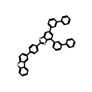 c1ccc(-c2cccc(-c3cc(-c4cccc(-c5ccccc5)c4)c4nc(-c5ccc(-c6ccc7sc8ccccc8c7c6)cc5)sc4c3)c2)cc1